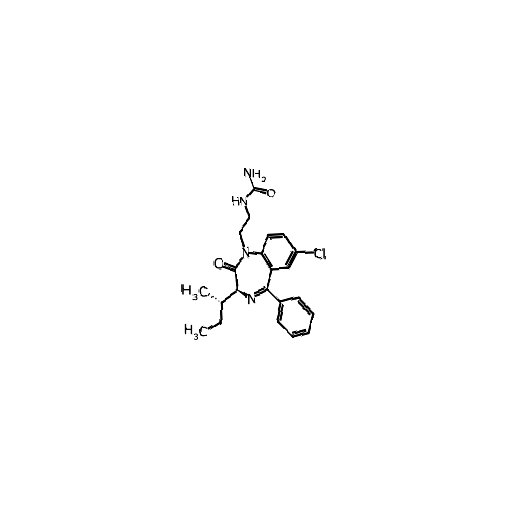 CC[C@H](C)[C@@H]1N=C(c2ccccc2)c2cc(Cl)ccc2N(CCNC(N)=O)C1=O